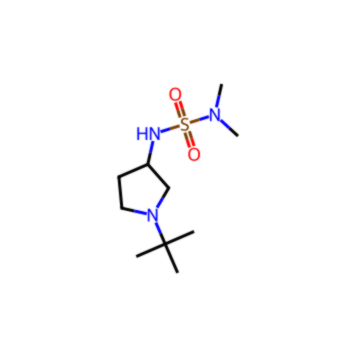 CN(C)S(=O)(=O)NC1CCN(C(C)(C)C)C1